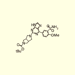 COc1ccc(-c2nc(N3CC4CN(C(=O)OC(C)(C)C)CC4C3)nc3[nH]cnc23)cc1S(N)(=O)=O